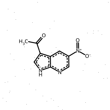 CC(=O)c1c[nH]c2ncc([N+](=O)[O-])cc12